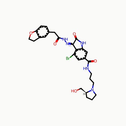 O=C(Cc1ccc2c(c1)CCO2)N/N=C1\C(=O)Nc2cc(C(=O)NCCCN3CCC[C@H]3CO)cc(Br)c21